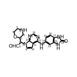 O=CC(C1CNCCO1)n1ccc2c(Nc3ccc4[nH]c(=O)[nH]c4c3)ncnc21